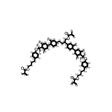 C=C(C)C(=O)OCCCCc1ccc(OC(F)(F)c2c(F)cc(-c3ccc(CCC(COC(=O)C(=C)C)c4ccc(-c5cc(F)c(C(F)(F)Oc6ccc(CCCCOC(=O)C(=C)C)cc6)c(F)c5)c(F)c4)cc3F)cc2F)cc1